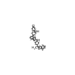 C=C(c1ccc(Nc2nc3c(N4CCC(O)(c5ccc(Cl)cc5)CC4)cccn3n2)cc1)N(C)Cc1cccnc1